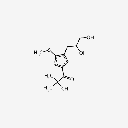 CSc1sc(C(=O)C(C)(C)C)cc1CC(O)CO